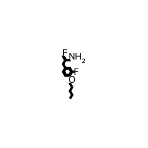 CCCCCOc1ccc(C/C(=C/F)CN)cc1F